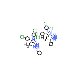 Cc1c(-c2nnn(Cc3ccccc3)n2)nn(-c2ccc(Cl)cc2Cl)c1-c1ccc(Cl)cc1.Cc1c(-c2nnnn2Cc2ccccc2)nn(-c2ccc(Cl)cc2Cl)c1-c1ccc(Cl)cc1